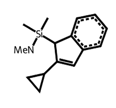 CN[Si](C)(C)C1C(C2CC2)=Cc2ccccc21